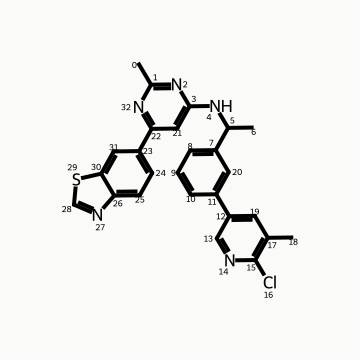 Cc1nc(NC(C)c2cccc(-c3cnc(Cl)c(C)c3)c2)cc(-c2ccc3ncsc3c2)n1